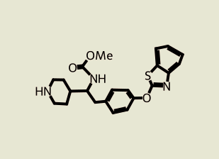 COC(=O)NC(Cc1ccc(Oc2nc3ccccc3s2)cc1)C1CCNCC1